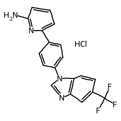 Cl.Nc1cccc(-c2ccc(-n3cnc4cc(C(F)(F)F)ccc43)cc2)n1